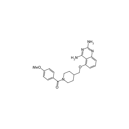 COc1ccc(C(=O)N2CCC(COc3cccc4nc(N)nc(N)c34)CC2)cc1